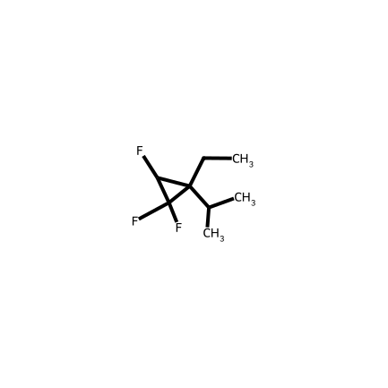 CCC1(C(C)C)C(F)C1(F)F